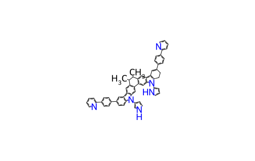 CC1c2cc3c4c(n(-c5ccc[nH]5)c3cc2-c2cc3c(cc2C1C)c1cc(-c2ccc(-c5ccccn5)cc2)ccc1n3-c1cc[nH]c1)CCC(c1ccc(-c2ccccn2)cc1)=C4